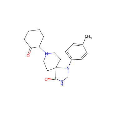 Cc1ccc(N2CNC(=O)C23CCN(C2CCCCC2=O)CC3)cc1